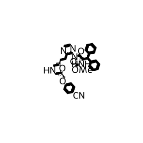 COC(=O)N[C@H](C(=O)Nc1nccnc1CC[C@@H]1CNC[C@@H](COc2ccc(C#N)cc2)O1)C(c1ccccc1)c1ccccc1